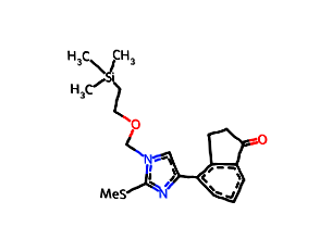 CSc1nc(-c2cccc3c2CCC3=O)cn1COCC[Si](C)(C)C